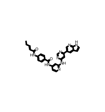 CC/C=C/C(=O)Nc1ccc(C(=O)Nc2ccnc(Nc3cc(-c4cnc5[nH]ccc5c4)ncn3)c2)cc1